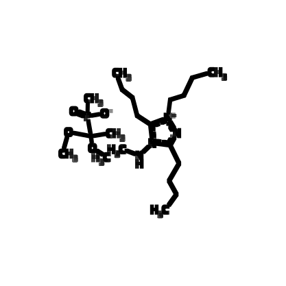 CCCCc1n[n+](CCCC)c(CCCC)n1NC.COC(C)(OC)P(C)(=O)[O-]